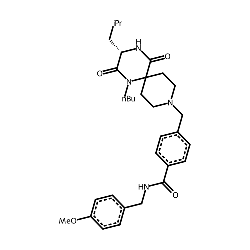 CCCCN1C(=O)[C@H](CC(C)C)NC(=O)C12CCN(Cc1ccc(C(=O)NCc3ccc(OC)cc3)cc1)CC2